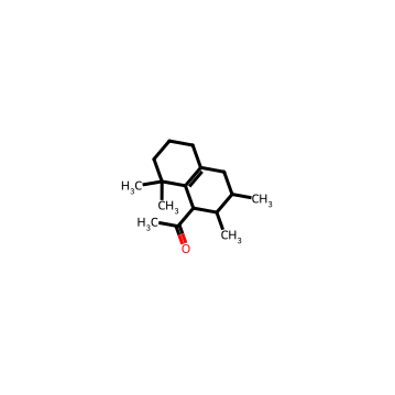 CC(=O)C1C2=C(CCCC2(C)C)CC(C)C1C